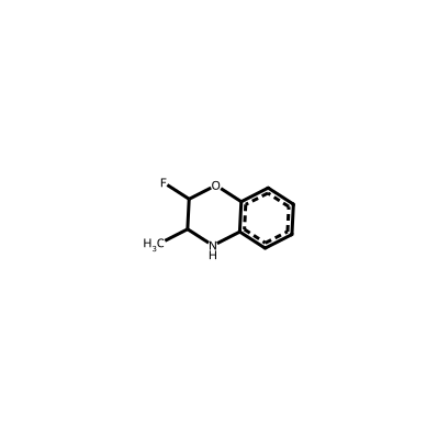 CC1Nc2ccccc2OC1F